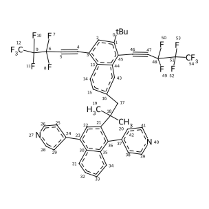 CC(C)(C)c1cc(C#CC(F)(F)C(F)(F)C(F)(F)F)c2ccc(CC(C)(C)c3cc(-c4ccncc4)c4ccccc4c3-c3ccncc3)cc2c1C#CC(F)(F)C(F)(F)C(F)(F)F